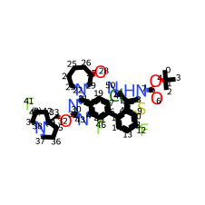 CC(C)(C)OC(=O)Nc1sc2c(F)ccc(-c3c(Cl)cc4c(N5CCCCC(=O)C5)nc(OC[C@@]56CCCN5C[C@H](F)C6)nc4c3F)c2c1C#N